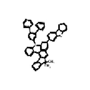 CC1(C)c2ccccc2-c2c(-c3ccccc3N(c3cccc(-c4ccc5c(c4)oc4ccccc45)c3)c3ccc(-c4ccccc4)c(-c4ccccc4)c3)cccc21